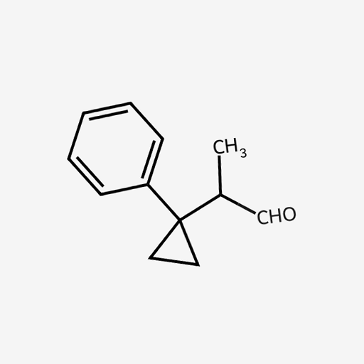 CC(C=O)C1(c2ccccc2)CC1